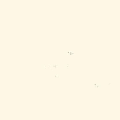 CC(=O)n1cc(C(=O)Nc2ccc(C3CCCCC3)cc2C(=O)O)c2ccccc21